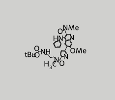 CNC(=O)c1cnc2cc(OC)c(-c3ccc(C(=O)N(C)CCCCNC(=O)OC(C)(C)C)nc3)cc2c1Nc1ccccc1